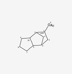 CC(=O)OC1=C2CC(C1)C1CCCC21